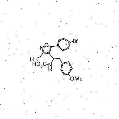 COc1ccc(C[C@@H](NC(=O)O)c2c(C)noc2-c2ccc(Br)cc2)cc1